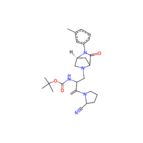 C=C(C(CN1C[C@@H]2CC1C(=O)N2c1cccc(C)c1)NC(=O)OC(C)(C)C)N1CCCC1C#N